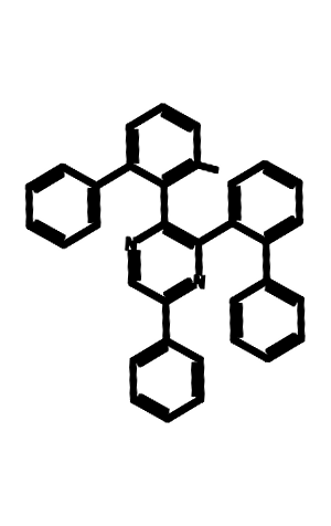 Cc1cccc(-c2ccccc2)c1-c1ncc(-c2ccccc2)nc1-c1ccccc1-c1ccccc1